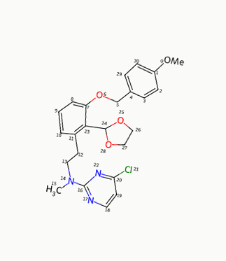 COc1ccc(COc2cccc(CCN(C)c3nccc(Cl)n3)c2C2OCCO2)cc1